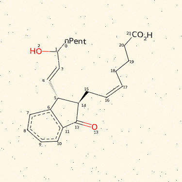 CCCCCC(O)C=C[C@H]1c2ccccc2C(=O)[C@@H]1C/C=C\CCCC(=O)O